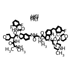 CN[C@@H](C)C(=O)N[C@H](C(=O)N1Cc2ccc(NC(=O)CNC(=O)[C@@]3(C)CN(C(=O)CN4C[C@@H](C)NC[C@@H]4CN4CCOC[C@H]4C)c4cc(Cc5ccc(F)cc5)ccc43)cc2[C@H]1C(=O)Nc1c(F)cccc1F)C1CCOCC1.Cl.Cl.Cl